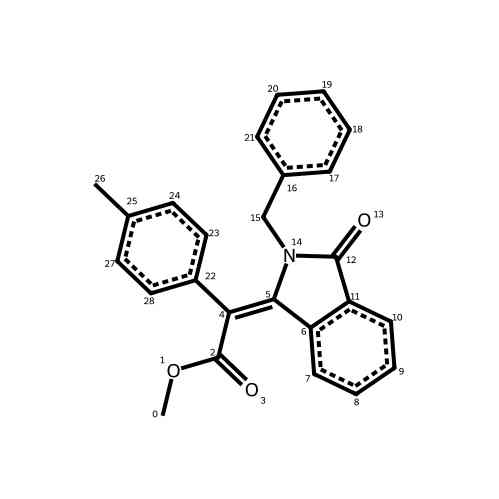 COC(=O)/C(=C1\c2ccccc2C(=O)N1Cc1ccccc1)c1ccc(C)cc1